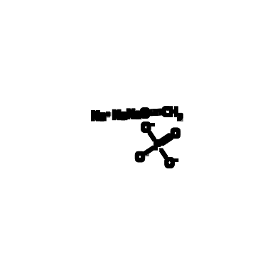 C=O.O=P([O-])([O-])[O-].[Na+].[Na+].[Na+]